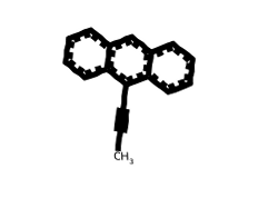 CC#Cc1c2ccccc2cc2ccccc12